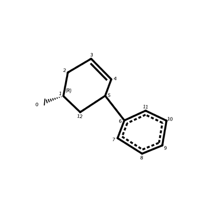 I[C@@H]1CC=CC(c2ccccc2)C1